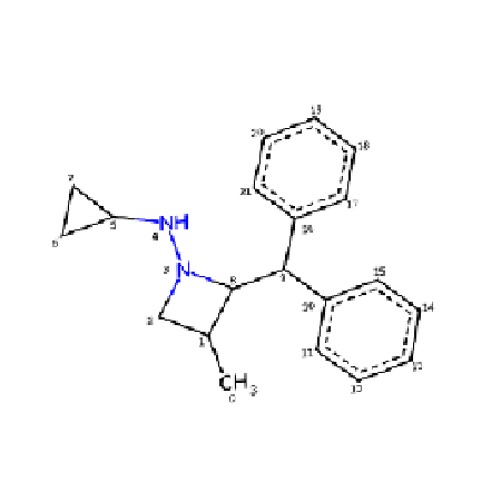 CC1CN(NC2CC2)C1C(c1ccccc1)c1ccccc1